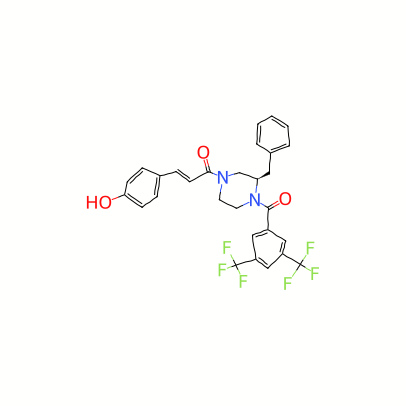 O=C(C=Cc1ccc(O)cc1)N1CCN(C(=O)c2cc(C(F)(F)F)cc(C(F)(F)F)c2)[C@H](Cc2ccccc2)C1